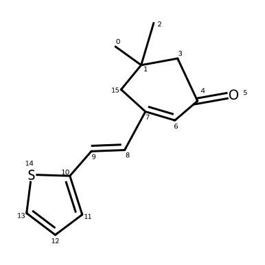 CC1(C)CC(=O)C=C(C=Cc2cccs2)C1